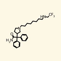 NC(=O)C(c1ccccc1)(c1ccccc1)C1CCN(CCCCCCCCNCC(F)(F)F)C1